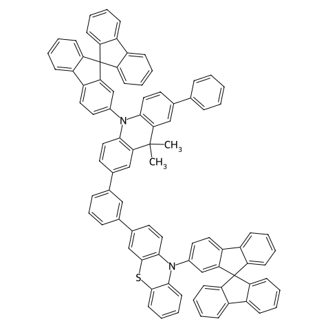 CC1(C)c2cc(-c3ccccc3)ccc2N(c2ccc3c(c2)C2(c4ccccc4-c4ccccc42)c2ccccc2-3)c2ccc(-c3cccc(-c4ccc5c(c4)Sc4ccccc4N5c4ccc5c(c4)C4(c6ccccc6-c6ccccc64)c4ccccc4-5)c3)cc21